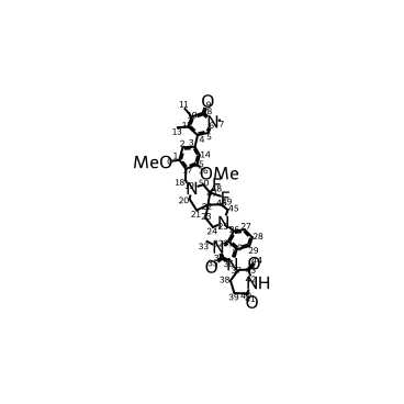 COc1cc(-c2cn(C)c(=O)c(C)c2C)cc(OC)c1CN1CCC2(CCN(c3cccc4c3n(C)c(=O)n4C3CCC(=O)NC3=O)CC2)C(F)(F)C1